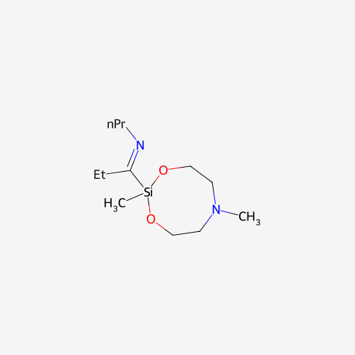 CCCN=C(CC)[Si]1(C)OCCN(C)CCO1